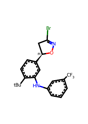 CC(C)(C)c1ccc([C@H]2CC(Br)=NO2)cc1Nc1cccc(C(F)(F)F)c1